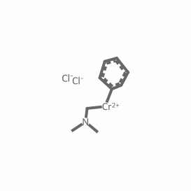 CN(C)[CH2][Cr+2][c]1ccccc1.[Cl-].[Cl-]